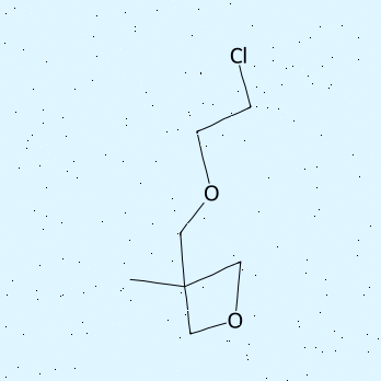 CC1(COCCCl)COC1